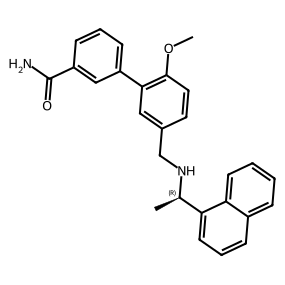 COc1ccc(CN[C@H](C)c2cccc3ccccc23)cc1-c1cccc(C(N)=O)c1